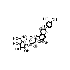 OC[C@H]1O[C@@H](O[C@H]2[C@H](O)[C@@H](O)[C@H](Oc3cc(O)cc4c3C[C@H](O)[C@@H](c3ccc(O)c(O)c3)O4)O[C@@H]2CO)[C@H](O)[C@@H](O)[C@@H]1O